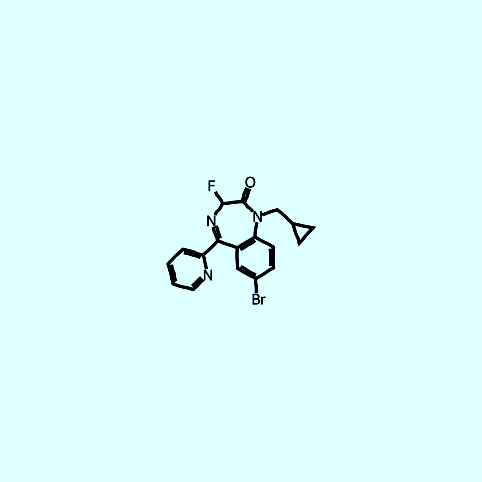 O=C1C(F)N=C(c2ccccn2)c2cc(Br)ccc2N1CC1CC1